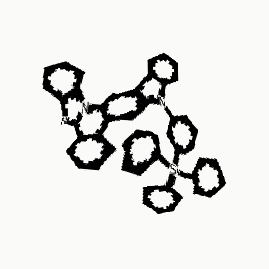 c1ccc([Si](c2ccccc2)(c2ccccc2)c2cccc(-n3c4ccccc4c4cc5c(cc43)c3ccccc3c3nc4ccccc4n53)c2)cc1